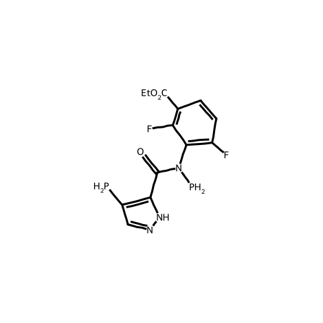 CCOC(=O)c1ccc(F)c(N(P)C(=O)c2[nH]ncc2P)c1F